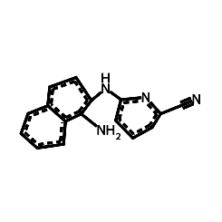 N#Cc1cccc(Nc2ccc3ccccc3c2N)n1